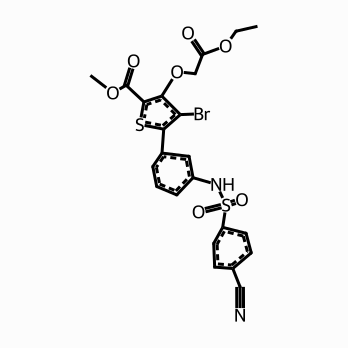 CCOC(=O)COc1c(C(=O)OC)sc(-c2cccc(NS(=O)(=O)c3ccc(C#N)cc3)c2)c1Br